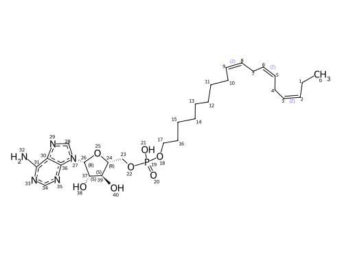 CC/C=C\C/C=C\C/C=C\CCCCCCCCOP(=O)(O)OC[C@H]1O[C@@H](n2cnc3c(N)ncnc32)[C@@H](O)[C@@H]1O